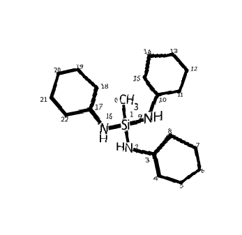 C[Si](NC1CCCCC1)(NC1CCCCC1)NC1CCCCC1